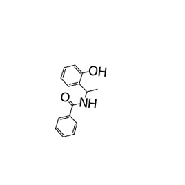 CC(NC(=O)c1ccccc1)c1ccccc1O